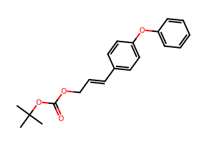 CC(C)(C)OC(=O)OCC=Cc1ccc(Oc2ccccc2)cc1